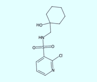 O=S(=O)(NCC1(O)CCCCC1)c1cccnc1Cl